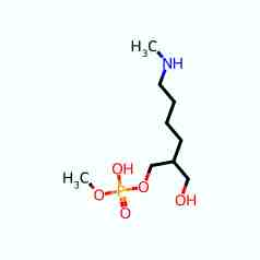 CNCCCCC(CO)COP(=O)(O)OC